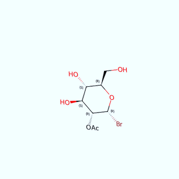 CC(=O)O[C@@H]1[C@@H](O)[C@H](O)[C@@H](CO)O[C@@H]1Br